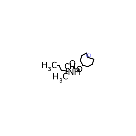 CCCC(C)(C)NC(=O)OC1CC/C=C/CCC1